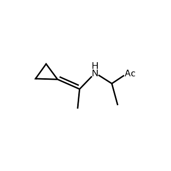 CC(=O)C(C)NC(C)=C1CC1